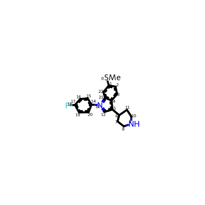 CSc1ccc2c(C3CCNCC3)cn(-c3ccc(F)cc3)c2c1